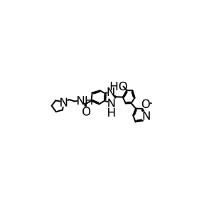 COc1ncccc1-c1ccc(O)c(-c2nc3ccc(C(=O)NCCN4CCCC4)cc3[nH]2)c1